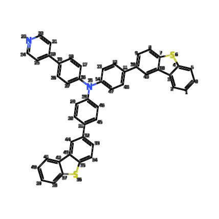 c1ccc2c(c1)sc1ccc(-c3ccc(N(c4ccc(-c5ccncc5)cc4)c4ccc(-c5ccc6sc7ccccc7c6c5)cc4)cc3)cc12